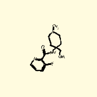 CN1CCC(CO)(NC(=O)c2ncccc2F)CC1